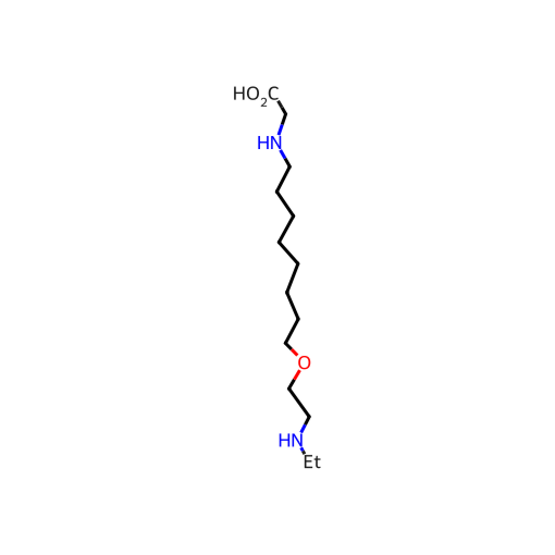 CCNCCOCCCCCCCCNCC(=O)O